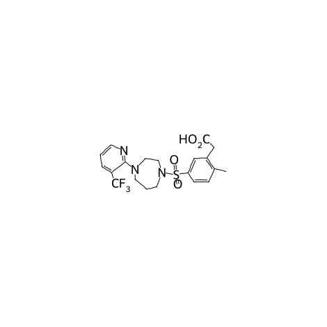 Cc1ccc(S(=O)(=O)N2CCCN(c3ncccc3C(F)(F)F)CC2)cc1CC(=O)O